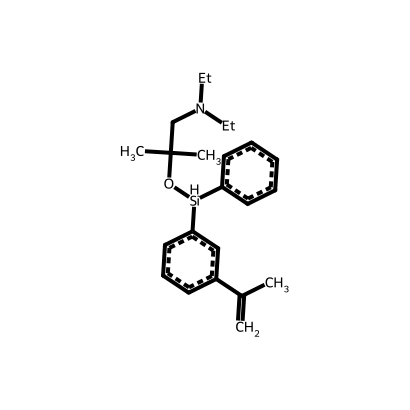 C=C(C)c1cccc([SiH](OC(C)(C)CN(CC)CC)c2ccccc2)c1